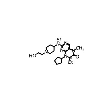 CC[C@@H]1C(=O)N(C)c2cnc(N(CC)C3CCN(CCO)CC3)nc2N1C1CCCC1